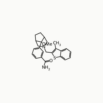 COC1(c2cccc(C(N)=O)c2)C2CCC1CN(Cc1sc3ccccc3c1C)C2